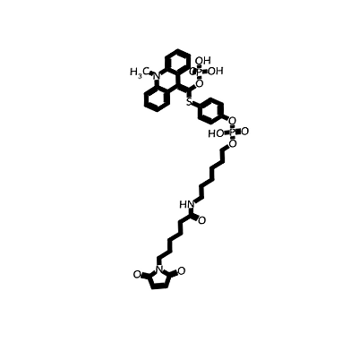 CN1c2ccccc2C(=C(OP(=O)(O)O)Sc2ccc(OP(=O)(O)OCCCCCCNC(=O)CCCCCN3C(=O)C=CC3=O)cc2)c2ccccc21